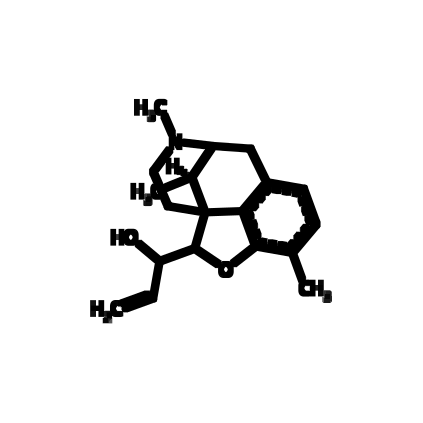 C=CC(O)C1Oc2c(C)ccc3c2C12CCN(C)C(C3)[C@@H]2C